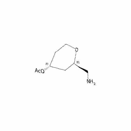 CC(=O)O[C@@H]1CCO[C@@H](CN)C1